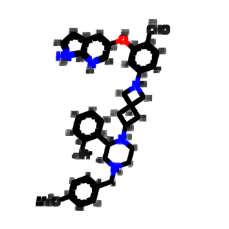 COc1ccc(CN2CCN(C3CC4(C3)CN(c3ccc(C=O)c(Oc5cnc6[nH]ccc6c5)c3)C4)C(c3ccccc3C(C)C)C2)cc1